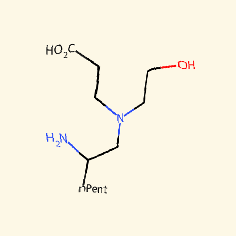 CCCCCC(N)CN(CCO)CCC(=O)O